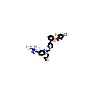 CC1(c2ccc(Cl)cc2F)Oc2cccc(C3CCN(Cc4nc5c(F)c(-c6nnc(C(F)(F)F)[nH]6)ccc5n4CC4CCO4)CC3)c2O1